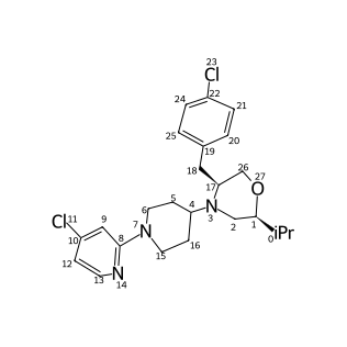 CC(C)[C@H]1CN(C2CCN(c3cc(Cl)ccn3)CC2)[C@@H](Cc2ccc(Cl)cc2)CO1